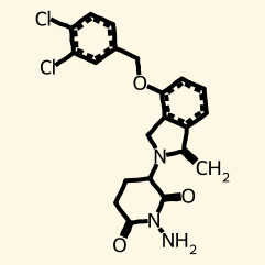 C=C1c2cccc(OCc3ccc(Cl)c(Cl)c3)c2CN1C1CCC(=O)N(N)C1=O